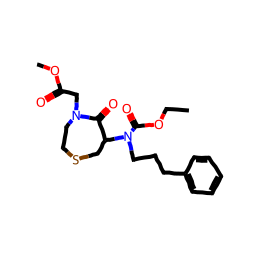 CCOC(=O)N(CCCc1ccccc1)C1CSCCN(CC(=O)OC)C1=O